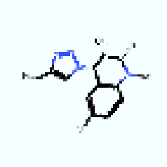 CCCCCc1cn([C@@H]2c3cc(C(F)(F)F)ccc3N(C(C)=O)[C@@H](CC)[C@H]2C)nn1